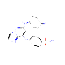 NC1CCC(Nc2cc(Nc3ccc(S(N)(=O)=O)cc3)c3nccn3n2)CC1